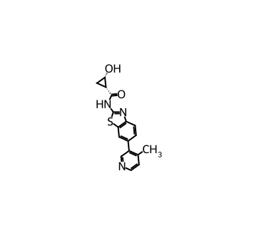 Cc1ccncc1-c1ccc2nc(NC(=O)[C@@H]3C[C@@H]3O)sc2c1